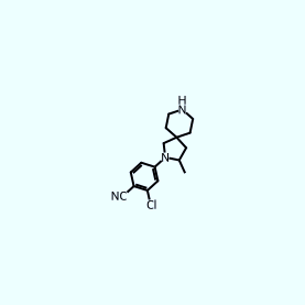 CC1CC2(CCNCC2)CN1c1ccc(C#N)c(Cl)c1